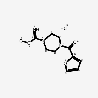 COC(=N)N1CCN(C(=O)c2ccco2)CC1.Cl